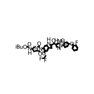 Cc1cc(Oc2ccccc2F)ccc1-n1ncc(C(=O)c2cc3cc(OCC(F)F)c(N4C(=O)C5CC(NC(=O)OCC(C)C)CN5C4=O)cc3[nH]2)c1N